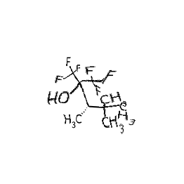 C[C@@H](C(C)(C)C)C(O)(C(F)(F)F)C(F)(F)F